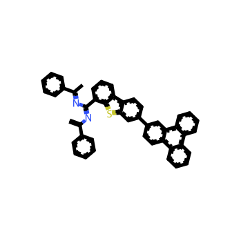 C=C(/N=C(\N=C(/C)c1ccccc1)c1cccc2c1sc1cc(-c3ccc4c5ccccc5c5ccccc5c4c3)ccc12)c1ccccc1